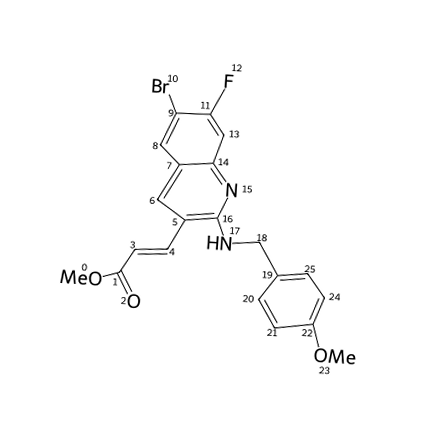 COC(=O)C=Cc1cc2cc(Br)c(F)cc2nc1NCc1ccc(OC)cc1